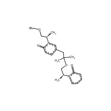 C[C@H](COC(C)(C)C)n1cc(CC(C)(C)OC[C@H](C)n2ccccc2=O)ccc1=O